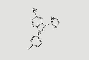 Cc1ccc(-n2cc(-c3nccs3)c3cc(Br)cnc32)cc1